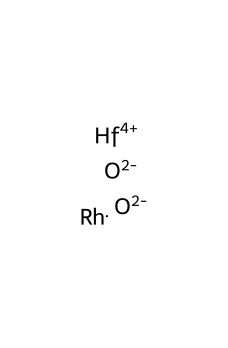 [Hf+4].[O-2].[O-2].[Rh]